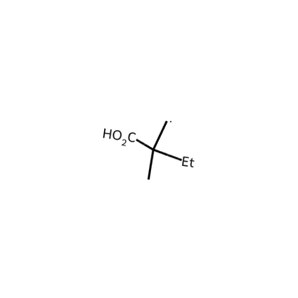 [CH2]C(C)(CC)C(=O)O